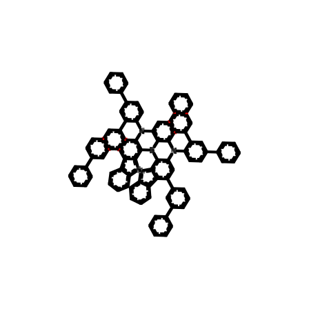 c1ccc(-c2cccc(-c3cc4c(c5sc6ccccc6c35)B3c5c(cc(-c6ccccc6)cc5N(c5ccc(-c6ccccc6)cc5-c5ccccc5)c5cc(-c6cccc(-c7ccccc7)c6)c6c(sc7ccccc76)c53)N4c3ccc(-c4ccccc4)cc3-c3ccccc3)c2)cc1